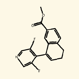 COC(=O)c1ccc2c(c1)C(c1c(F)cncc1F)=CCC2